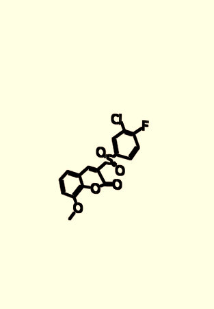 COc1cccc2cc(S(=O)(=O)c3ccc(F)c(Cl)c3)c(=O)oc12